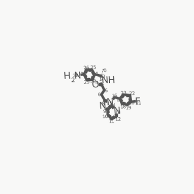 C[C@H](NC(=O)CCc1nc2cccnc2n1Cc1ccc(F)cc1)c1ccc(N)cc1